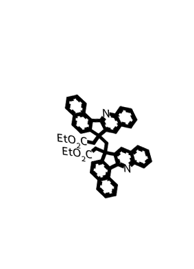 CCOC(=O)CC1(CC2(CC(=O)OCC)c3cc4ccccc4nc3-c3c2ccc2ccccc32)c2cc3ccccc3nc2-c2c1ccc1ccccc21